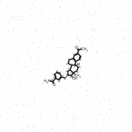 CC(=O)c1ccc2c(c1)CCC1C3C[C@H](Cc4cccc(C(N)=O)c4)[C@H](O)C3(C)CC[C@H]21